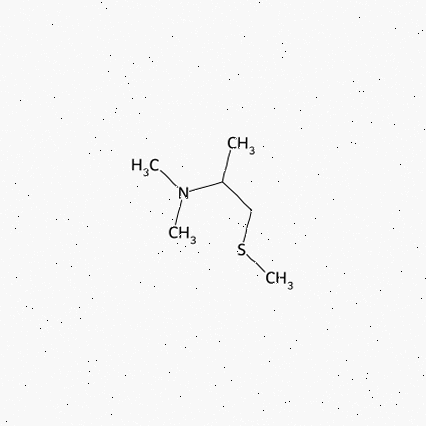 CSCC(C)N(C)C